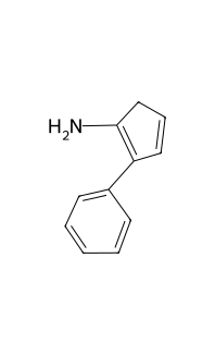 NC1=C(c2ccccc2)C=CC1